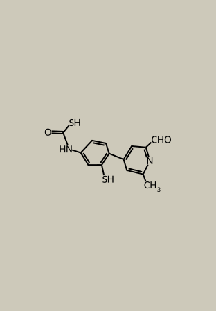 Cc1cc(-c2ccc(NC(=O)S)cc2S)cc(C=O)n1